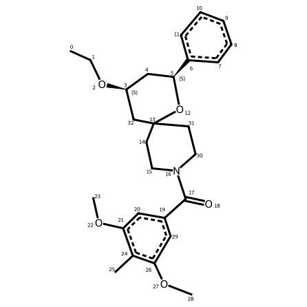 CCO[C@H]1C[C@@H](c2ccccc2)OC2(CCN(C(=O)c3cc(OC)c(C)c(OC)c3)CC2)C1